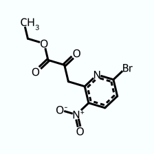 CCOC(=O)C(=O)Cc1nc(Br)ccc1[N+](=O)[O-]